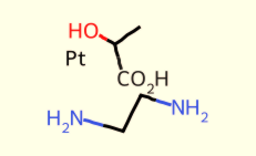 CC(O)C(=O)O.NCCN.[Pt]